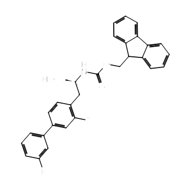 O=C(N[C@@H](Cc1ccc(-c2cccc(F)c2)cc1F)C(=O)O)OCC1c2ccccc2-c2ccccc21